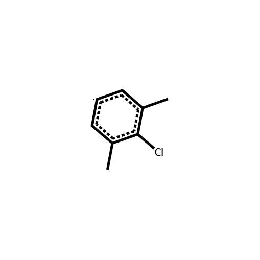 Cc1c[c]cc(C)c1Cl